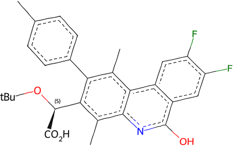 Cc1ccc(-c2c([C@H](OC(C)(C)C)C(=O)O)c(C)c3nc(O)c4cc(F)c(F)cc4c3c2C)cc1